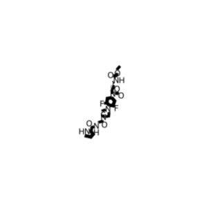 CCOC(=O)NC[C@H]1CN(c2cc(F)c(N3CCN(C(=O)CNC(=O)c4ccc[nH]4)CC3)c(F)c2)C(=O)O1